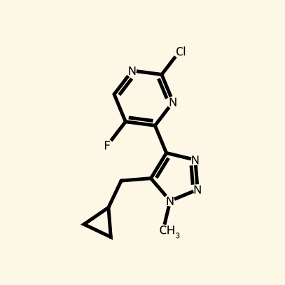 Cn1nnc(-c2nc(Cl)ncc2F)c1CC1CC1